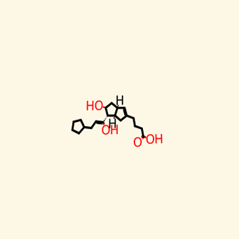 O=C(O)CCCC1=C[C@@H]2C[C@H](O)[C@@H](C(O)=CCC3CCCC3)[C@@H]2C1